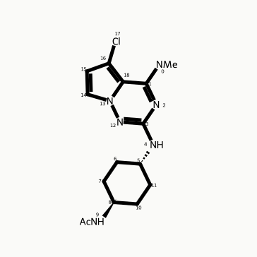 CNc1nc(N[C@H]2CC[C@H](NC(C)=O)CC2)nn2ccc(Cl)c12